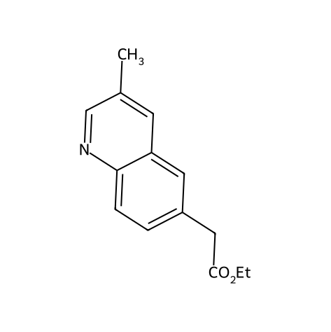 CCOC(=O)Cc1ccc2ncc(C)cc2c1